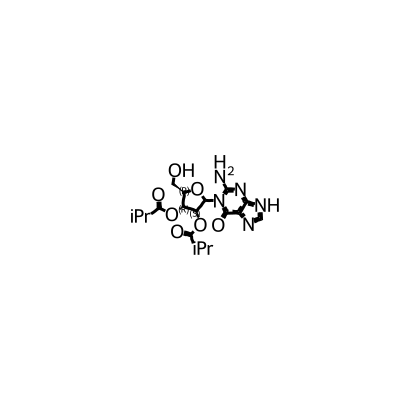 CC(C)C(=O)O[C@H]1[C@H](OC(=O)C(C)C)C(n2c(N)nc3[nH]cnc3c2=O)O[C@@H]1CO